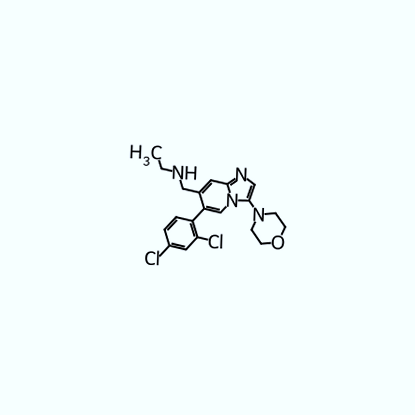 CCNCc1cc2ncc(N3CCOCC3)n2cc1-c1ccc(Cl)cc1Cl